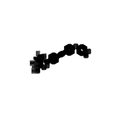 C[C@@](O)(C(F)F)[C@H](NC(=O)c1ccc(C#Cc2ccc(ON3CCS(=O)(=O)CC3)cc2)cc1)C(=O)NO